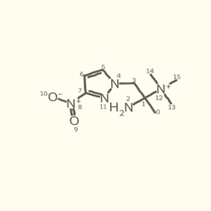 CC(N)(Cn1ccc([N+](=O)[O-])n1)[N+](C)(C)C